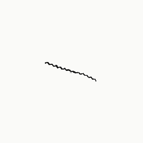 CCCCCCCCCCC=C[C]C=CCCCCCCCCCC